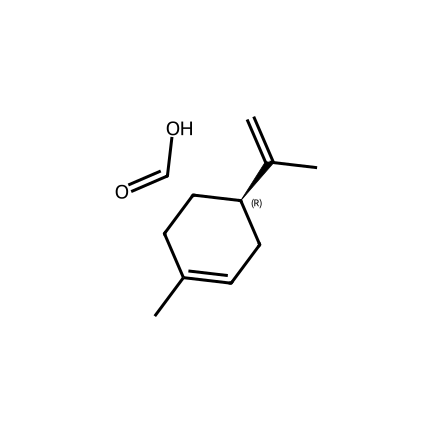 C=C(C)[C@H]1CC=C(C)CC1.O=CO